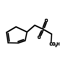 O=C(O)CS(=O)(=O)CC1C=CC=CC1